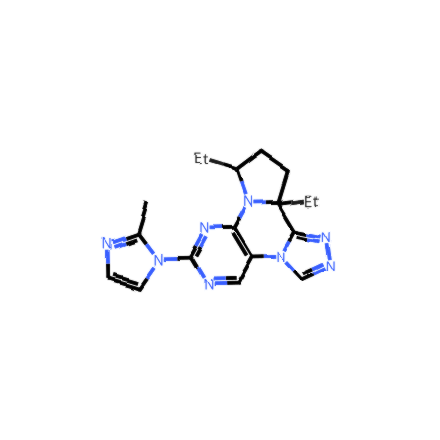 CCC1CCC2(CC)c3nncn3-c3cnc(-n4ccnc4C)nc3N12